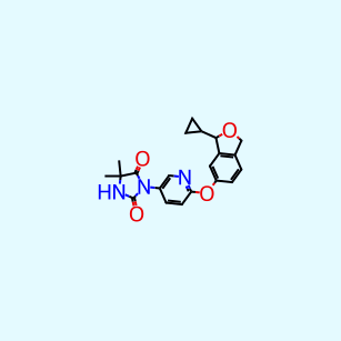 CC1(C)NC(=O)N(c2ccc(Oc3ccc4c(c3)C(C3CC3)OC4)nc2)C1=O